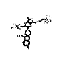 CC(C)[Si](OCc1nc2c(I)nn(COCC[Si](C)(C)C)c2nc1N1CCC2(CC1)Cc1cc(F)ccc1[C@H]2N)(C(C)C)C(C)C